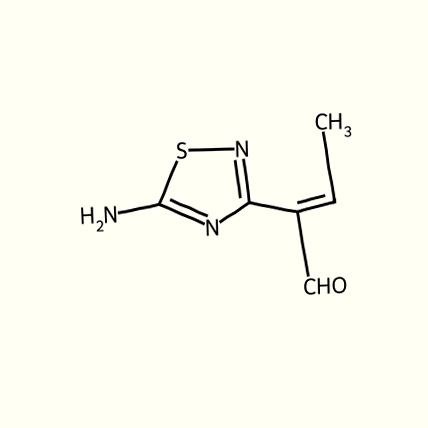 C/C=C(/C=O)c1nsc(N)n1